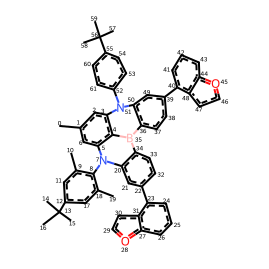 Cc1cc2c3c(c1)N(c1c(C)cc(C(C)(C)C)cc1C)c1cc(-c4cccc5occc45)ccc1B3c1ccc(-c3cccc4occc34)cc1N2c1ccc(C(C)(C)C)cc1